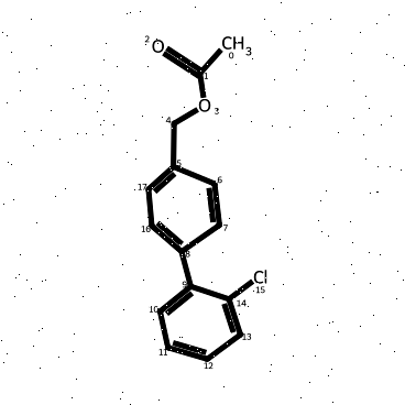 CC(=O)OCc1ccc(-c2ccccc2Cl)cc1